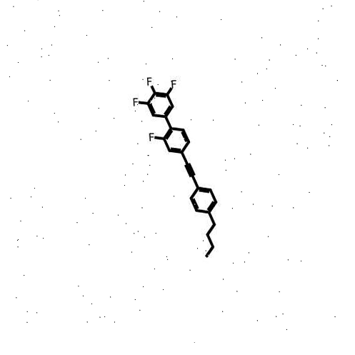 CCCCc1ccc(C#Cc2ccc(-c3cc(F)c(F)c(F)c3)c(F)c2)cc1